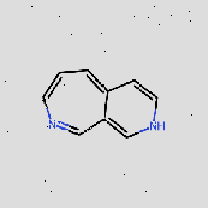 C1=CN=CC2=CNC=CC2=C1